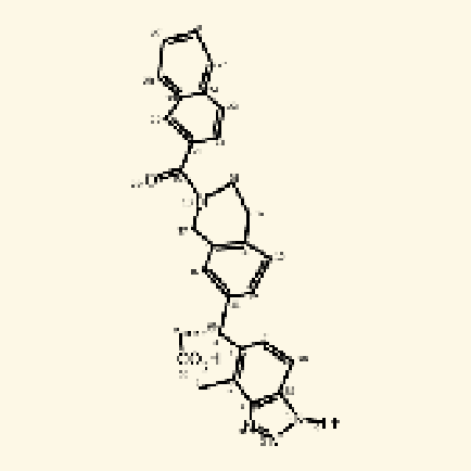 CCn1nnc2c(C)c([C@H](CC(=O)O)c3ccc4c(c3)CN(C(=O)c3ccc5ccccc5c3)CC4)ccc21